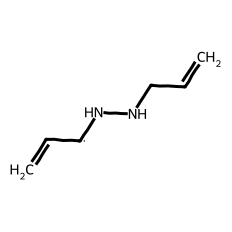 C=C[CH]NNCC=C